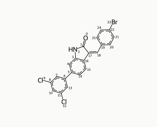 O=C1Nc2cc(-c3cc(Cl)cc(Cl)c3)ccc2C1=Cc1ccc(Br)cc1